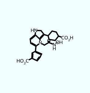 O=C(CN1C(c2cccc(C(=O)O)c2)=CC=C2NCC(C3CCC(C(=O)O)CC3)=C21)NO